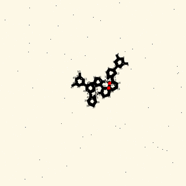 Cc1cc(C)cc(-c2ccc3c(c2)c2ccccc2n3-c2ccc(C(F)(F)F)cc2-c2c(C#N)cccc2-n2c3ccccc3c3cc(-c4cc(C)cc(C)c4)ccc32)c1